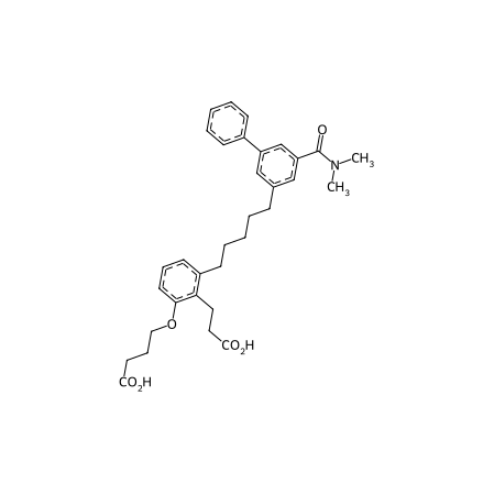 CN(C)C(=O)c1cc(CCCCCc2cccc(OCCCC(=O)O)c2CCC(=O)O)cc(-c2ccccc2)c1